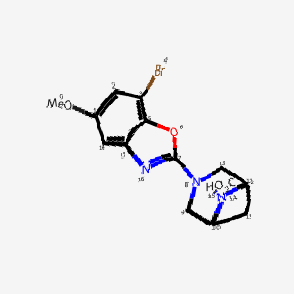 COc1cc(Br)c2oc(N3CC4CC(C3)N4C(=O)O)nc2c1